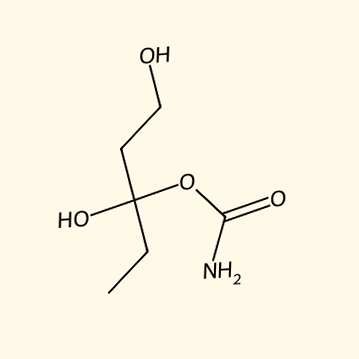 CCC(O)(CCO)OC(N)=O